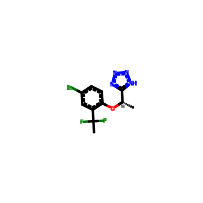 C[C@H](Oc1ccc(Br)cc1C(C)(F)F)c1nnn[nH]1